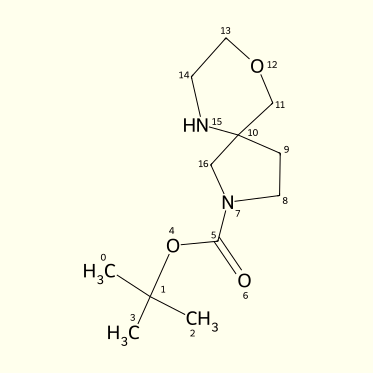 CC(C)(C)OC(=O)N1CCC2(COCCN2)C1